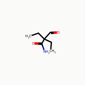 CCC(C=O)(CC)C(N)=O